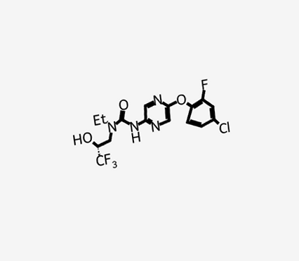 CCN(C[C@@H](O)C(F)(F)F)C(=O)Nc1cnc(Oc2ccc(Cl)cc2F)cn1